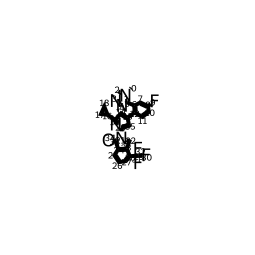 Cn1cnnc1-c1cc(F)ccc1-c1cc(C2CC2)nc(N2Cc3c(cccc3C(F)(F)F)C2=O)c1